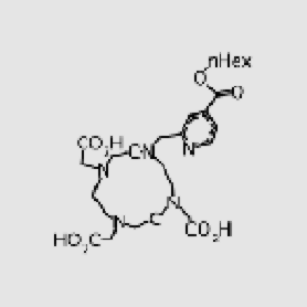 CCCCCCOC(=O)c1ccnc(CN2CCN(CC(=O)O)CCN(CC(=O)O)CCN(CC(=O)O)CC2)c1